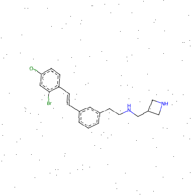 Clc1ccc(/C=C/c2cccc(CCNCC3CNC3)c2)c(Br)c1